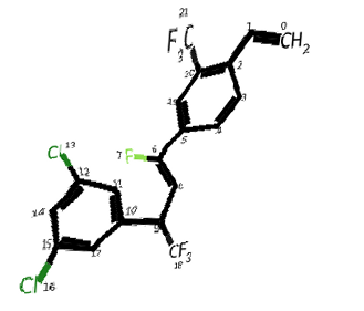 C=Cc1ccc(/C(F)=C/C(c2cc(Cl)cc(Cl)c2)C(F)(F)F)cc1C(F)(F)F